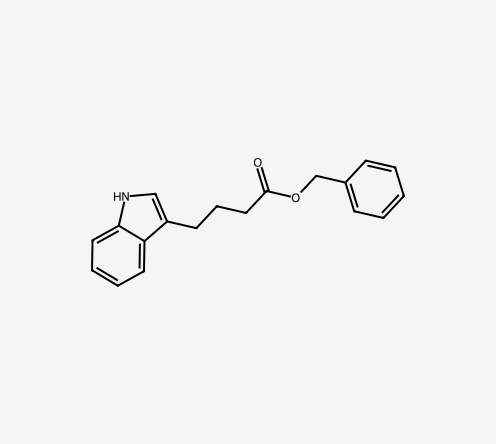 O=C(CCCc1c[nH]c2ccccc12)OCc1ccccc1